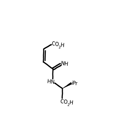 CC(C)[C@H](NC(=N)/C=C\C(=O)O)C(=O)O